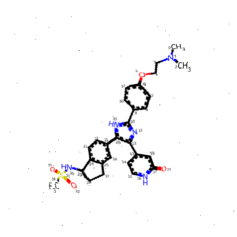 CN(C)CCOc1ccc(-c2nc(-c3cc[nH]c(=O)c3)c(-c3ccc4c(c3)CCC4NS(=O)(=O)C(F)(F)F)[nH]2)cc1